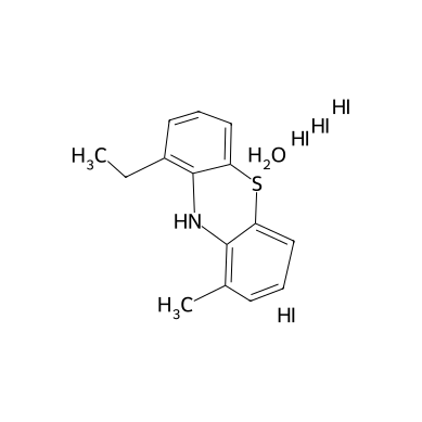 CCc1cccc2c1Nc1c(C)cccc1S2.I.I.I.I.O